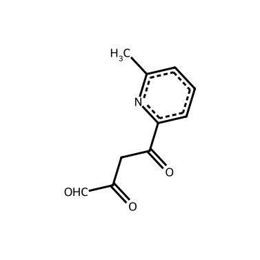 Cc1cccc(C(=O)CC(=O)C=O)n1